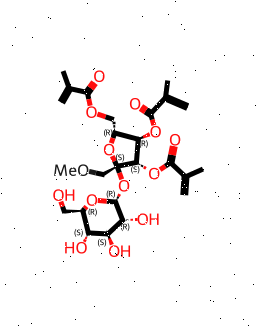 C=C(C)C(=O)OC[C@H]1O[C@@](COC)(O[C@H]2O[C@H](CO)[C@@H](O)[C@H](O)[C@H]2O)[C@@H](OC(=O)C(=C)C)[C@@H]1OC(=O)C(=C)C